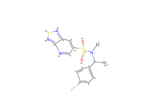 CCN(C(c1ccc(F)cc1)C(F)(F)F)S(=O)(=O)c1cnc2nsnc2c1